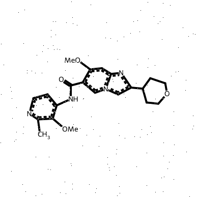 COc1cc2nc(C3CCOCC3)cn2cc1C(=O)Nc1ccnc(C)c1OC